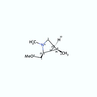 COC[C@@H]1C2[C@@H](CN1C)[C@H]2C